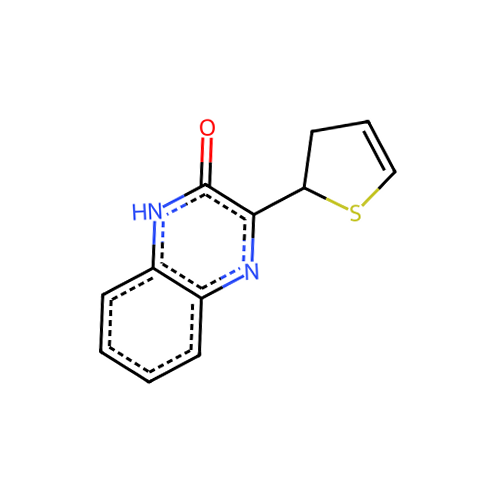 O=c1[nH]c2ccccc2nc1C1CC=CS1